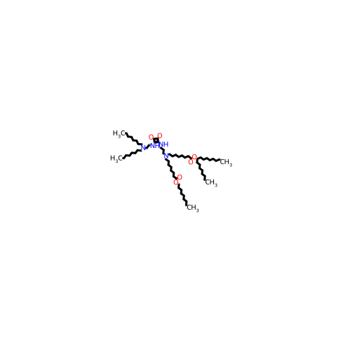 CCCCCCCCCOC(=O)CCCCCCCN(CCCCCCCC(=O)OC(CCCCCCCC)CCCCCCCC)CCCNc1c(NCCN(CCCCCCCC)CCCCCCCC)c(=O)c1=O